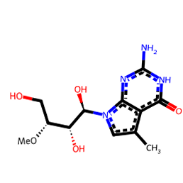 CO[C@H](CO)[C@@H](O)[C@@H](O)n1cc(C)c2c(=O)[nH]c(N)nc21